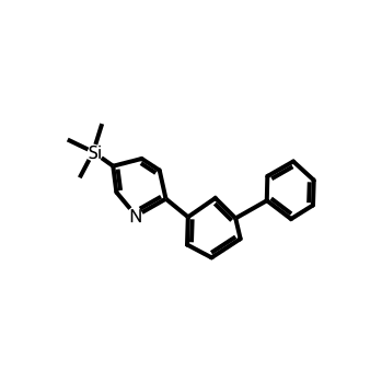 C[Si](C)(C)c1ccc(-c2cccc(-c3ccccc3)c2)nc1